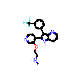 CNCCOc1cnccc1-c1[nH]c2cccnc2c1-c1cccc(C(F)(F)F)c1